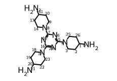 NC1CCN(c2nc(N3CCC(N)CC3)nc(N3CCC(N)CC3)n2)CC1